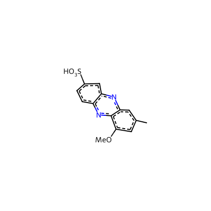 COc1cc(C)cc2nc3cc(S(=O)(=O)O)ccc3nc12